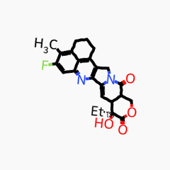 CC[C@@]1(O)C(=O)OCC2C(=O)N3Cc4c(nc5cc(F)c(C)c6c5c4CCC6)C3=CC21